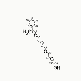 C=C(COCCOCCOCCOCCO)c1ccccc1